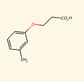 [CH2]c1cccc(OCCC(=O)O)c1